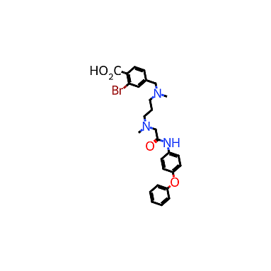 CN(CCCN(C)Cc1ccc(C(=O)O)c(Br)c1)CC(=O)Nc1ccc(Oc2ccccc2)cc1